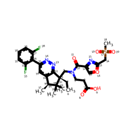 CC[C@]1(CN(CCC(=O)O)C(=O)c2coc(CS(C)(=O)=O)n2)c2nnc(-c3c(F)cccc3F)cc2[C@H](C)C1(C)C